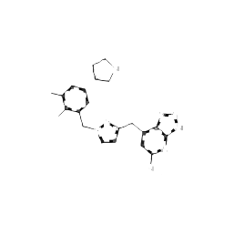 Nc1cc(Cc2ccn(Cc3cc([C@@H]4CCNC4)cc(F)c3F)n2)c2nn[nH]c2n1